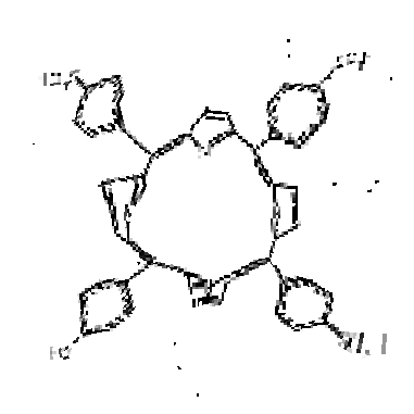 O=S(=O)(O)c1ccc(C2=C3C=CC(=N3)C(c3ccc(S(=O)(=O)O)cc3)=C3C=CC(=N3)C(c3ccc(S(=O)(=O)O)cc3)=C3C=CC(=N3)C(c3ccc(O)cc3)=C3C=CC2=N3)cc1